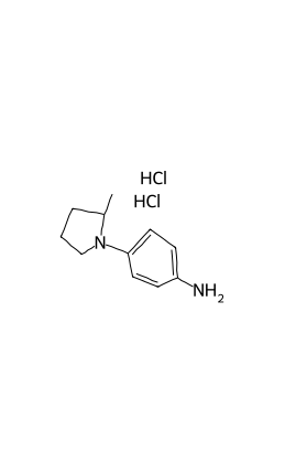 CC1CCCN1c1ccc(N)cc1.Cl.Cl